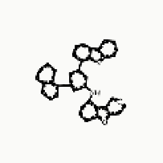 c1ccc2c(-c3cc(Nc4cccc5oc6ccccc6c45)cc(-c4cccc5c4sc4ccccc45)c3)cccc2c1